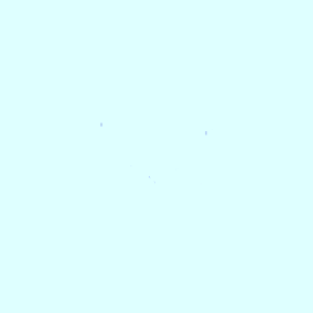 CCCC1CC(CCC)C(=O)NC1=O